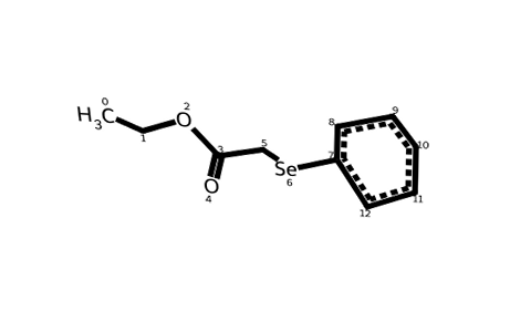 CCOC(=O)C[Se]c1ccccc1